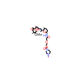 CO[C@H]([C@@H](C)[C@H]1O[C@]1(C)C[C@H](C)/C=C/C=C(\C)[C@H]1O[C@@H](CNC(=O)CCOCCOC(=O)N2CCCN(I)CC2)CC[C@@H]1C)[C@@H](C)O